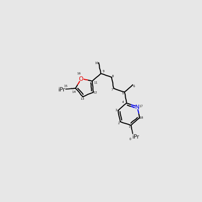 CC(C)c1ccc(C(C)CCC(C)c2ccc(C(C)C)o2)nc1